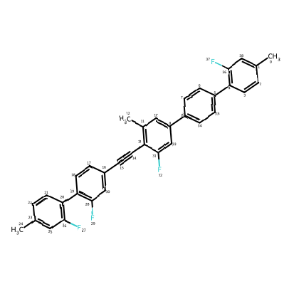 Cc1ccc(-c2ccc(-c3cc(C)c(C#Cc4ccc(-c5ccc(C)cc5F)c(F)c4)c(F)c3)cc2)c(F)c1